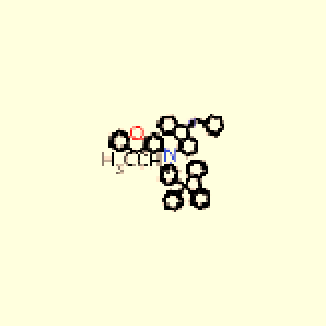 CC1(C)c2ccccc2Oc2ccc(N(c3cccc(C4(c5ccccc5)c5ccccc5-c5ccccc54)c3)c3cccc4c3-c3ccccc3/C4=C/c3ccccc3)cc21